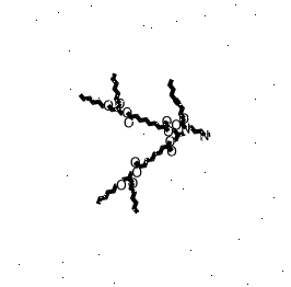 CCCCC#CCCOC(=O)N(CCCN(C)C)CC(COC(=O)CCCCCCC(=O)OCC(COCCCCCC)OCCCCCC)COC(=O)CCCCCCC(=O)OCC(COCCCCCC)OCCCCCC